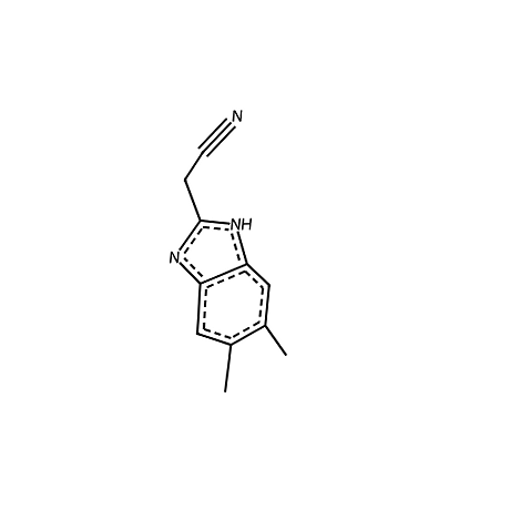 Cc1cc2nc(CC#N)[nH]c2cc1C